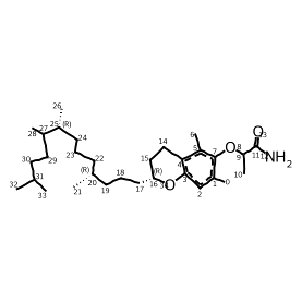 Cc1cc2c(c(C)c1OC(C)C(N)=O)CC[C@@H](CCC[C@H](C)CCC[C@@H](C)C(C)CCC(C)C)O2